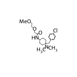 COCCOCC(=O)NC1CCC(Cc2ccc(Cl)cc2)(N(C)C)CC1